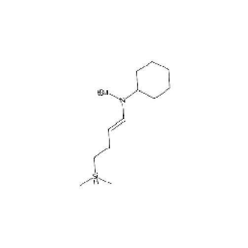 C[SiH](C)CCC=CN(C1CCCCC1)C(C)(C)C